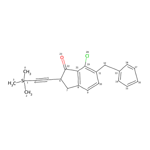 C[Si](C)(C)C#CC1Cc2ccc(Cc3ccccc3)c(Cl)c2C1=O